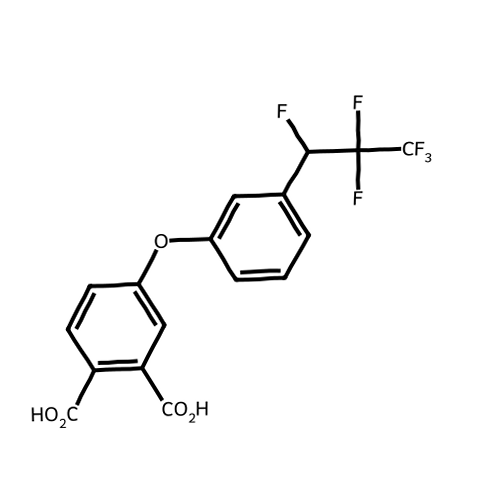 O=C(O)c1ccc(Oc2cccc(C(F)C(F)(F)C(F)(F)F)c2)cc1C(=O)O